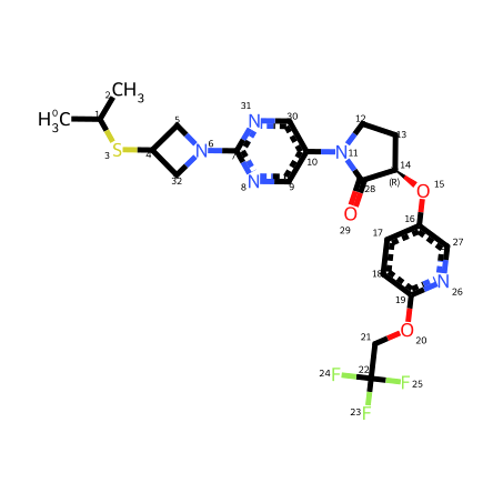 CC(C)SC1CN(c2ncc(N3CC[C@@H](Oc4ccc(OCC(F)(F)F)nc4)C3=O)cn2)C1